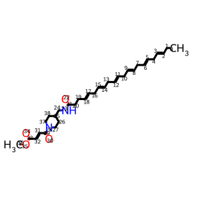 CCC=CCC=CCC=CCC=CCC=CCC=CCCC(=O)NCC1CCN(C(=O)C=CC(=O)OC)CC1